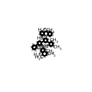 Cc1cc(C)c(-c2cc(-c3ccc4c(oc5ccccc54)c3Nc3ccc4c(c3)C(C)(C)CCC4(C)C)c3c(c2)N2c4ccccc4C(C)(C)c4cccc(c42)B3)c(C)c1